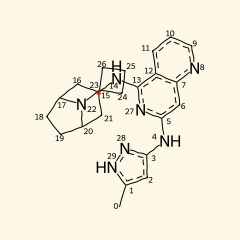 Cc1cc(Nc2cc3ncccc3c(NC3CC4CCC(C3)N4C3CCC3)n2)n[nH]1